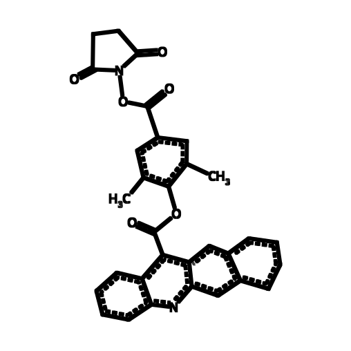 Cc1cc(C(=O)ON2C(=O)CCC2=O)cc(C)c1OC(=O)c1c2ccccc2nc2cc3ccccc3cc12